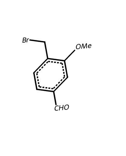 COc1cc(C=O)ccc1CBr